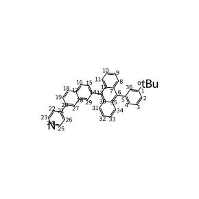 CC(C)(C)c1cccc(-c2c3ccccc3c(-c3ccc4ccc(-c5ccncc5)cc4c3)c3ccccc23)c1